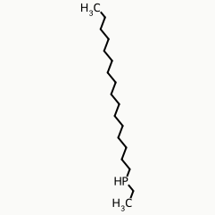 CCCCCCCCCCCCCCCCPCC